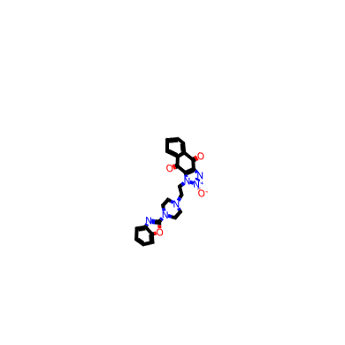 O=C1c2ccccc2C(=O)c2c1n[n+]([O-])n2CCN1CCN(c2nc3ccccc3o2)CC1